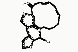 C=C1/C=C\C=C/CCn2c(=O)c3sccc3c3csc1c32